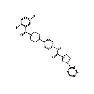 O=C(Nc1ccc(C2CCN(C(=O)c3cc(F)ccc3F)CC2)cc1)[C@H]1CCN(c2cccnn2)C1